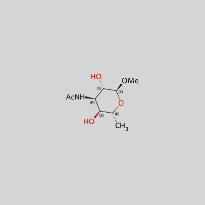 CO[C@H]1O[C@H](C)[C@@H](O)[C@@H](NC(C)=O)[C@@H]1O